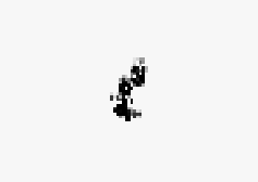 Cc1[nH]nc2c(C(=O)N[C@H]3CC[C@@H](Nc4cccc5nc(C(F)(F)F)cn45)CC3)cccc12